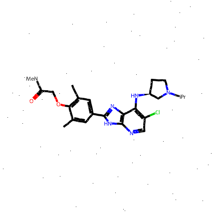 CNC(=O)COc1c(C)cc(-c2nc3c(N[C@H]4CCN(C(C)C)C4)c(Cl)cnc3[nH]2)cc1C